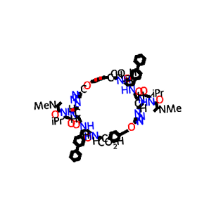 CN[C@@H](C)C(=O)N[C@H](C(=O)N1C[C@@H]2C[C@H]1C(=O)N[C@@H](Cc1ccc(-c3ccccc3)cc1)C(=O)N[C@H](C(=O)O)Cc1ccc(cc1)COc1cn(nn1)[C@H]1C[C@@H](C(=O)N[C@@H](Cc3ccc(-c4ccccc4)cc3)C(=O)N[C@H](C(=O)O)Cc3ccc(cc3)OCc3cn2nn3)N(C(=O)[C@@H](NC(=O)[C@H](C)NC)C(C)C)C1)C(C)C